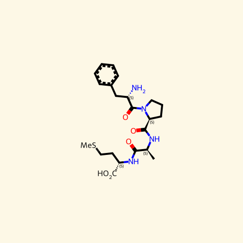 CSCC[C@H](NC(=O)[C@H](C)NC(=O)[C@@H]1CCCN1C(=O)[C@@H](N)Cc1ccccc1)C(=O)O